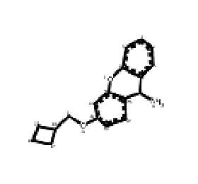 NC1c2ccccc2Oc2cc(OCC3CCC3)ccc21